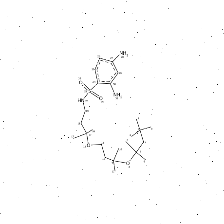 CC(C)(C)CC(C)(C)OC(C)(C)CCOC(C)(C)CCNS(=O)(=O)c1ccc(N)cc1N